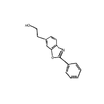 OCCc1ccc2nc(-c3ccccc3)oc2c1